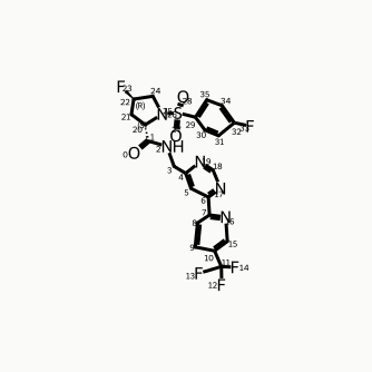 O=C(NCc1cc(-c2ccc(C(F)(F)F)cn2)ncn1)[C@@H]1C[C@@H](F)CN1S(=O)(=O)c1ccc(F)cc1